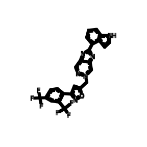 FC(F)(F)c1ccc(-c2cc(Cn3cc4nc(-c5cccc6[nH]ccc56)nc-4cn3)on2)c(C(F)(F)F)c1